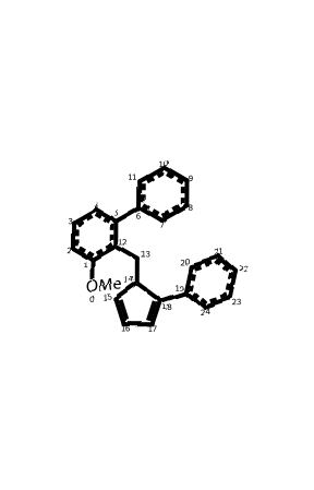 COc1cccc(-c2ccccc2)c1CC1C=CC=C1c1ccccc1